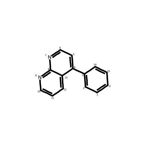 c1ccc(-c2ccnc3ncccc23)cc1